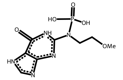 COCCN(c1nc2nc[nH]c2c(=O)[nH]1)P(=O)(O)O